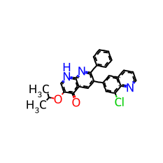 CC(C)Oc1c[nH]c2nc(-c3ccccc3)c(-c3cc(Cl)c4ncccc4c3)cc2c1=O